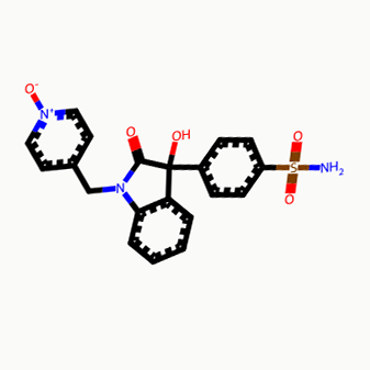 NS(=O)(=O)c1ccc(C2(O)C(=O)N(Cc3cc[n+]([O-])cc3)c3ccccc32)cc1